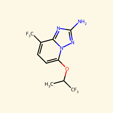 CC(Oc1ccc(C(F)(F)F)c2nc(N)nn12)C(F)(F)F